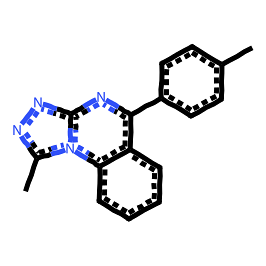 Cc1ccc(-c2nc3nnc(C)n3c3ccccc23)cc1